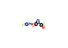 COc1ccc(C2CN(C)Cc3cc(OCCCN4CCC(F)CC4)ccc32)cc1F